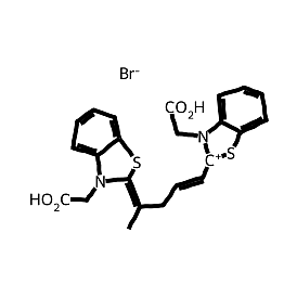 CC(CC=C[c+]1sc2ccccc2n1CC(=O)O)=C1Sc2ccccc2N1CC(=O)O.[Br-]